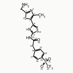 Cc1nc(CN)sc1-c1csc(NC(=O)Cc2ccc(S(=O)(=O)C(F)(F)F)cc2)n1